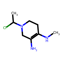 CNC1=C(N)CN(C(C)Cl)CC1